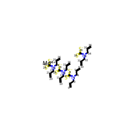 C=CCN(CC=C)C(=S)[S-].C=CCN(CC=C)C(=S)[S-].C=CCN(CC=C)C(=S)[S-].C=CCN(CC=C)C(=S)[S-].[Mo+4]